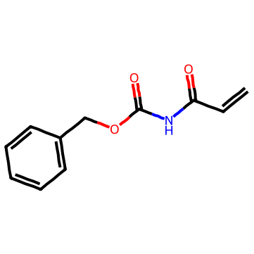 C=CC(=O)NC(=O)OCc1ccccc1